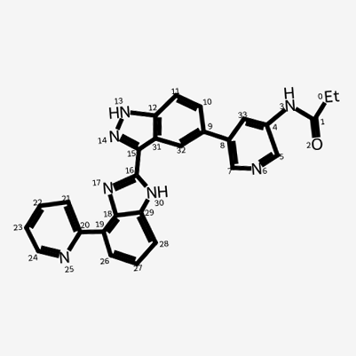 CCC(=O)Nc1cncc(-c2ccc3[nH]nc(-c4nc5c(-c6ccccn6)cccc5[nH]4)c3c2)c1